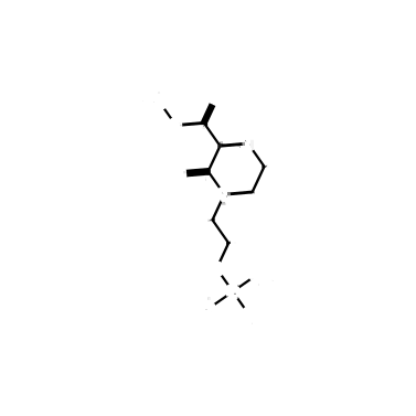 CCCCOC(=O)C1NCCN(CCO[Si](C)(C)C(C)(C)C)C1=O